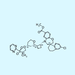 COC(=O)c1ccc2c(c1)N(C[C@@H]1CC[C@H]1[C@@H]1C[C@H](OC[C@@H](C)S(=O)(=O)c3ncccn3)CCO1)C[C@@]1(CCCc3cc(Cl)ccc31)CO2